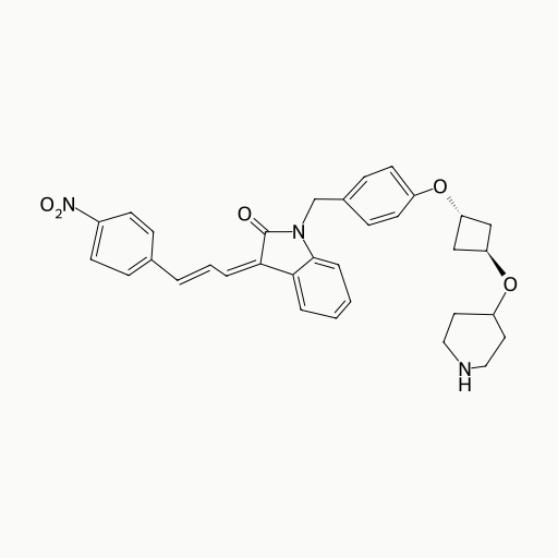 O=C1C(=CC=Cc2ccc([N+](=O)[O-])cc2)c2ccccc2N1Cc1ccc(O[C@H]2C[C@H](OC3CCNCC3)C2)cc1